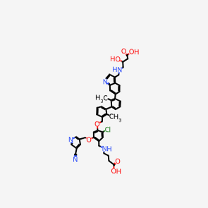 Cc1c(COc2cc(OCc3cncc(C#N)c3)c(CNCCCC(=O)O)cc2Cl)cccc1-c1cccc(-c2ccc3c(CNCC(O)CC(=O)O)ccnc3c2)c1C